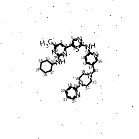 Cc1cc(-c2cnc(Nc3ccc(CN4CCN(c5ccccn5)CC4)cn3)s2)nc(NC2CCCCC2)n1